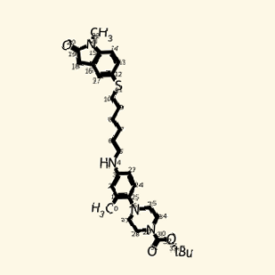 Cc1cc(NCCCCCCSc2ccc3c(c2)CC(=O)N3C)ccc1N1CCN(C(=O)OC(C)(C)C)CC1